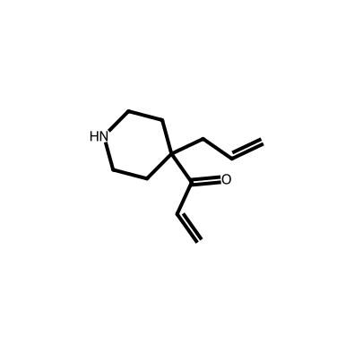 C=CCC1(C(=O)C=C)CCNCC1